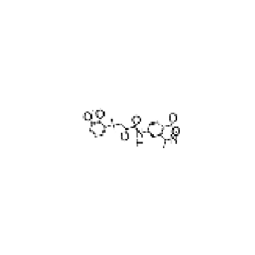 Cc1noc(=O)c2ccc(NC(=O)C(=O)CC(C)(C)c3cccc4c3OCO4)cc12